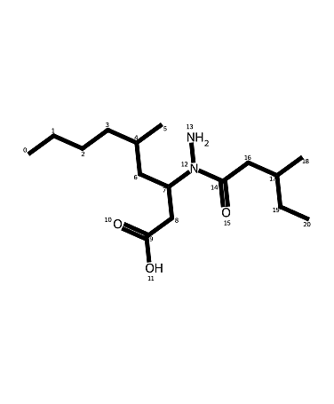 CCCCC(C)CC(CC(=O)O)N(N)C(=O)CC(C)CC